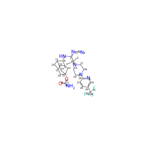 CC(C)(/C(=N\C#N)NC1C2CC3CC1CC(OC(N)=O)(C3)C2)N1CCN(c2ccc(C(F)(F)F)cn2)CC1